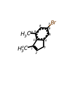 CC1=CCc2cc(Br)cc(C)c21